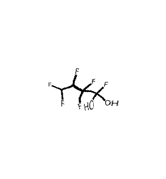 OC(O)(F)C(F)(F)C(F)C(F)F